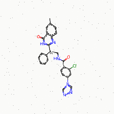 Cc1ccc2nc([C@@H](CNC(=O)c3ccc(-n4cnnc4)cc3Cl)c3ccccc3)[nH]c(=O)c2c1